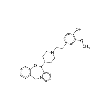 COc1cc(CCN2CCC(C3Oc4ccccc4Cn4cccc43)CC2)ccc1O